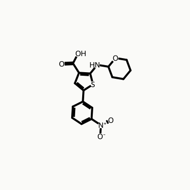 O=C(O)c1cc(-c2cccc([N+](=O)[O-])c2)sc1NC1CCCCO1